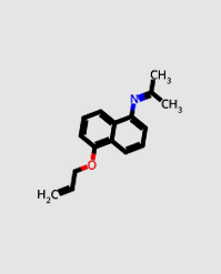 C=CCOc1cccc2c(N=C(C)C)cccc12